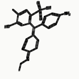 CCN=C1C=CC(=C(c2ccc(N)cc2)c2cc(O)c(C)cc2S(=O)(=O)O)C=C1